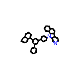 c1ccc(-c2cc(-c3ccc(-n4c5cnccc5c5ccc6ccccc6c54)cc3)cc(-c3cccc4ccccc34)c2)cc1